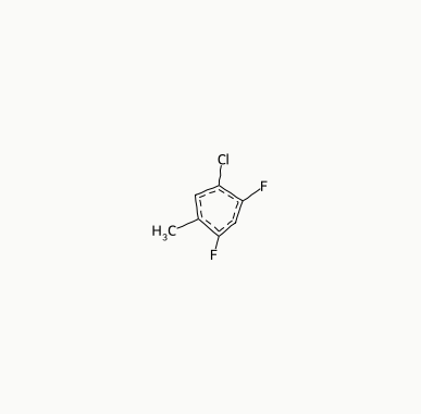 Cc1cc(Cl)c(F)cc1F